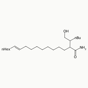 CCCCCCC=CCCCCCCCCC(C(N)=O)C(CO)CCCC